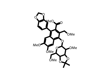 COCc1c(C(=O)OC)c(-c2ccc3c(c2)OCO3)c2cc(OC)c(OC)cc2c1OC1OC(COC)C2OC(C)(C)OC2C1OC